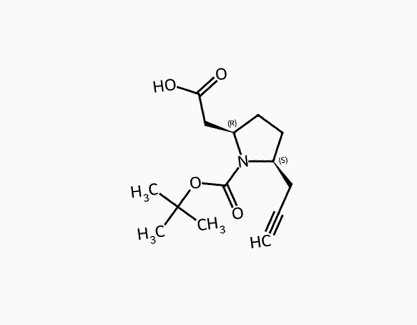 C#CC[C@@H]1CC[C@H](CC(=O)O)N1C(=O)OC(C)(C)C